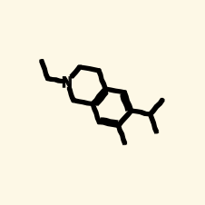 CCN1CCc2cc(C(C)C)c(C)cc2C1